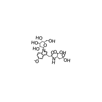 COc1ccc2c(c1)c(CC(=O)N[C@H](CC(=O)O)C(=O)O)cn2[C@@H]1O[C@H](CO)[C@@H](O)[C@H](O)[C@H]1O